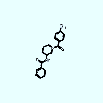 Cc1ccc(C(=O)N2CCCC(NC(=O)c3ccccc3)C2)cc1